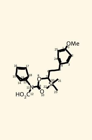 COc1ccc(CCC(OC(=O)N(C(=O)O)C2CC3C=CC2C3)[Si](C)(C)C)cc1